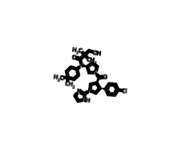 CC1(C)CCC(N(C(=O)C(C)(C)CO)[C@H]2CCN(C(=O)[C@@H]3CN(C4=NCCN4)C[C@H]3c3ccc(Cl)cc3)C2)CC1